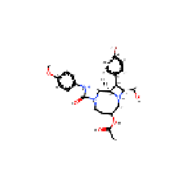 COc1ccc(NC(=O)N2CC[C@H](OC(C)=O)CN3[C@H](CO)[C@H](c4ccc(Br)cc4)[C@@H]3C2)cc1